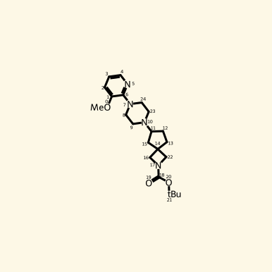 COc1cccnc1N1CCN(C2CCC3(C2)CN(C(=O)OC(C)(C)C)C3)CC1